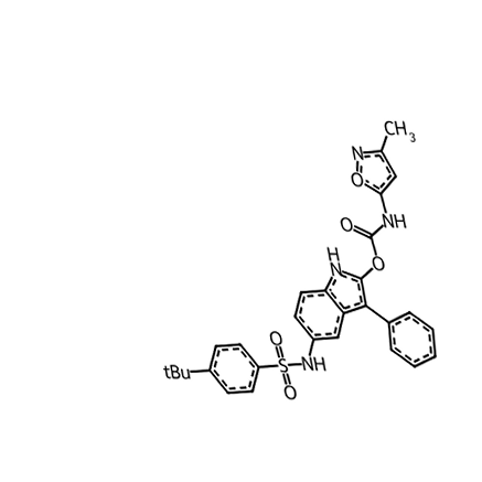 Cc1cc(NC(=O)Oc2[nH]c3ccc(NS(=O)(=O)c4ccc(C(C)(C)C)cc4)cc3c2-c2ccccc2)on1